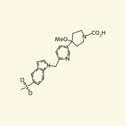 COC1(c2ccc(Cn3ccc4cc(S(C)(=O)=O)ccc43)nc2)CCN(C(=O)O)CC1